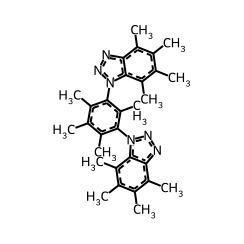 Cc1c(C)c(-n2nnc3c(C)c(C)c(C)c(C)c32)c(C)c(-n2nnc3c(C)c(C)c(C)c(C)c32)c1C